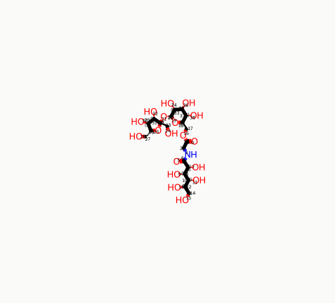 O=C(CNC(=O)[C@H](O)[C@@H](O)[C@H](O)[C@H](O)CO)OC[C@H]1O[C@H](O[C@]2(CO)O[C@H](CO)[C@@H](O)[C@@H]2O)[C@H](O)[C@@H](O)[C@@H]1O